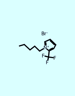 CCCCC[n+]1ccccc1C(F)(F)F.[Br-]